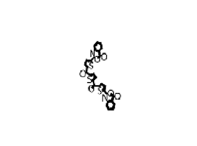 O=C(c1ccc(C(=O)c2ccc(-c3nc4ccccc4c(=O)o3)s2)s1)c1ccc(-c2nc3ccccc3c(=O)o2)s1